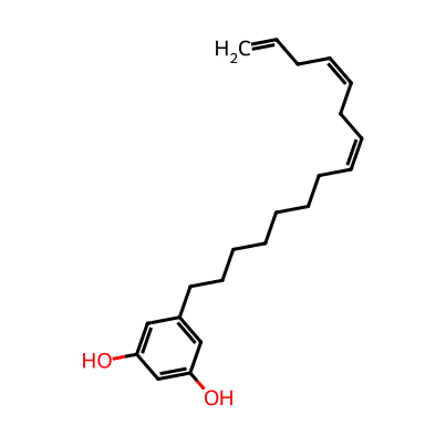 C=CC/C=C\C/C=C\CCCCCCCc1cc(O)cc(O)c1